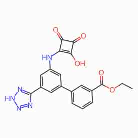 CCOC(=O)c1cccc(-c2cc(Nc3c(O)c(=O)c3=O)cc(-c3nn[nH]n3)c2)c1